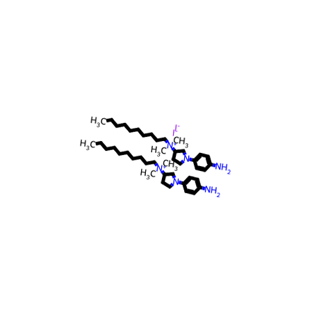 CCCCCCCCCC[N+](C)(C)C1CCN(c2ccc(N)cc2)C1.CCCCCCCCCC[N+](C)(C)C1CCN(c2ccc(N)cc2)C1.[I-].[I-]